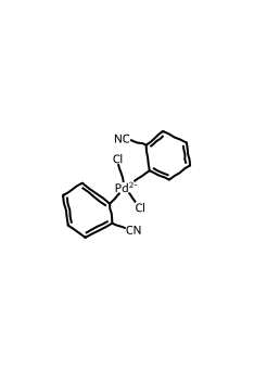 N#Cc1cccc[c]1[Pd-2]([Cl])([Cl])[c]1ccccc1C#N